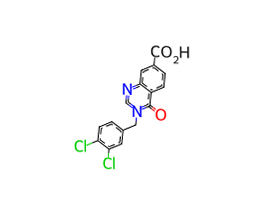 O=C(O)c1ccc2c(=O)n(Cc3ccc(Cl)c(Cl)c3)cnc2c1